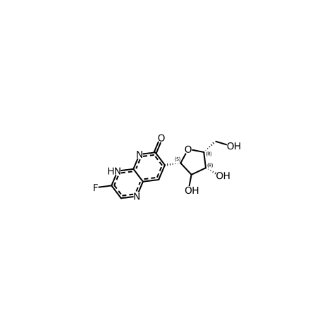 O=c1nc2[nH]c(F)cnc-2cc1[C@@H]1O[C@H](CO)[C@H](O)C1O